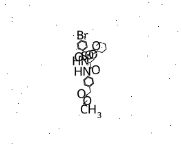 CCOC(=O)Cc1ccc(NC(=O)C(COC2CCCCO2)NS(=O)(=O)c2ccc(Br)cc2)cc1